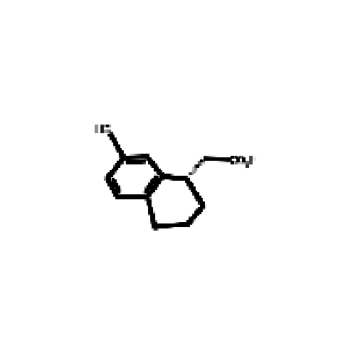 O=C(O)C[C@@H]1CCCc2ccc(O)cc21